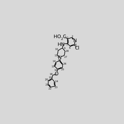 O=C(O)c1cnc(Cl)cc1NC1CCN(c2ccc(OCc3ccccc3)cc2)CC1